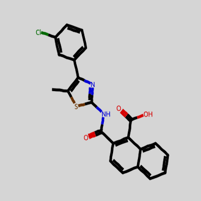 Cc1sc(NC(=O)c2ccc3ccccc3c2C(=O)O)nc1-c1cccc(Cl)c1